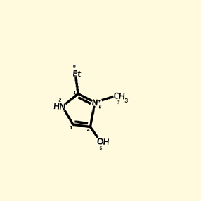 CCc1[nH]cc(O)[n+]1C